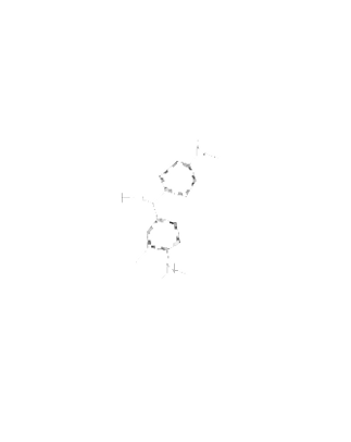 Cc1cc(C(O)c2ccc(N(C)C)cc2)ccc1N(C)C